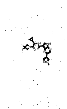 Cn1cc(-c2cnc3[nH]cc(C(=O)N[C@@H](C(=O)N4CC(F)(F)C4)C4CC4)c3n2)cn1